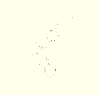 CCOC(=O)c1ccc(CN2CCCCC2c2cc3ccccc3[nH]2)cc1